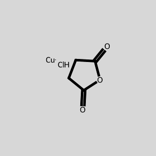 Cl.O=C1CCC(=O)O1.[Cu]